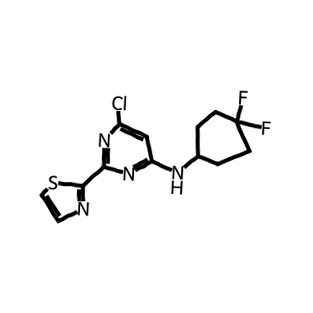 FC1(F)CCC(Nc2cc(Cl)nc(-c3nccs3)n2)CC1